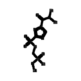 CCOP(=O)(CC)COS(=O)(=O)c1ncn(C(=O)N(CC)CC)n1